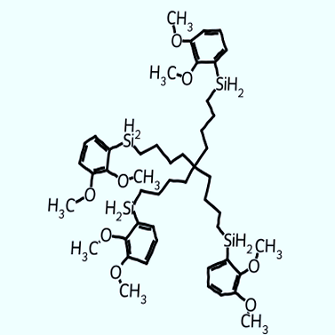 COc1cccc([SiH2]CCCCC(CCCC[SiH2]c2cccc(OC)c2OC)(CCCC[SiH2]c2cccc(OC)c2OC)CCCC[SiH2]c2cccc(OC)c2OC)c1OC